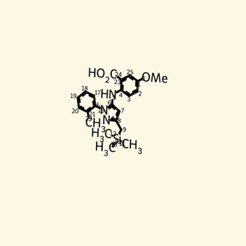 COc1ccc(Nc2cc(C[Si](C)(C)C)nn2-c2ccccc2C)c(C(=O)O)c1